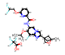 CC(C)Oc1c(NC(=O)c2cccc(OCC(F)F)n2)cn2cc(C34COC(C)(C3)C4)nc2c1F.O=C(O)C(F)(F)F